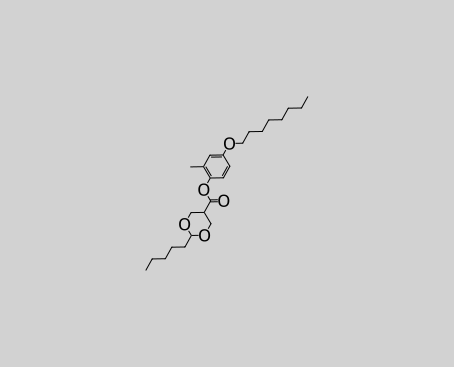 CCCCCCCCOc1ccc(OC(=O)C2COC(CCCCC)OC2)c(C)c1